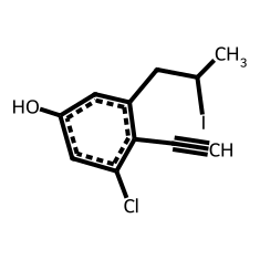 C#Cc1c(Cl)cc(O)cc1CC(C)I